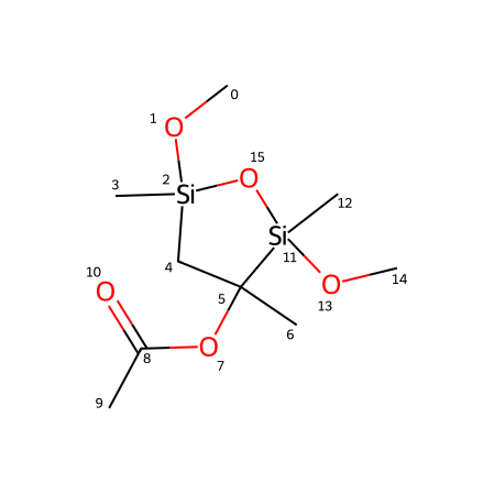 CO[Si]1(C)CC(C)(OC(C)=O)[Si](C)(OC)O1